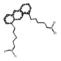 CCN(CC)CCCCCc1cccc2cc3cccc(CCCCCN(CC)CC)c3cc12